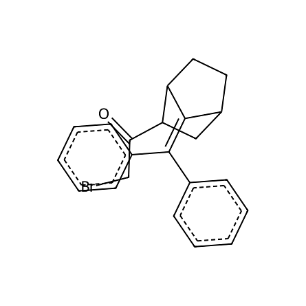 O=C(CBr)C1CC2CCC1C2=C(c1ccccc1)c1ccccc1